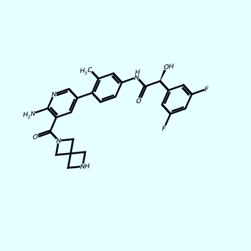 Cc1cc(NC(=O)[C@@H](O)c2cc(F)cc(F)c2)ccc1-c1cnc(N)c(C(=O)N2CC3(CNC3)C2)c1